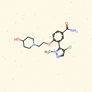 Cn1ncc(Cl)c1-c1cc(C(N)=O)ccc1OCCN1CCC(O)CC1